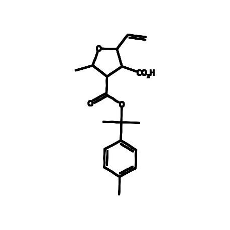 C=CC1OC(C)C(C(=O)OC(C)(C)c2ccc(C)cc2)C1C(=O)O